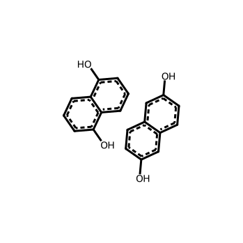 Oc1ccc2cc(O)ccc2c1.Oc1cccc2c(O)cccc12